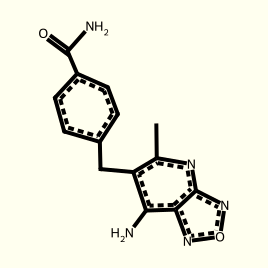 Cc1nc2nonc2c(N)c1Cc1ccc(C(N)=O)cc1